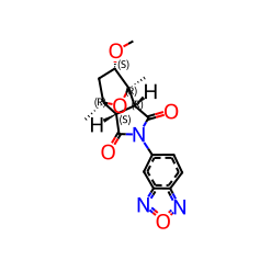 CO[C@H]1C[C@@]2(C)O[C@]1(C)[C@@H]1C(=O)N(c3ccc4nonc4c3)C(=O)[C@@H]12